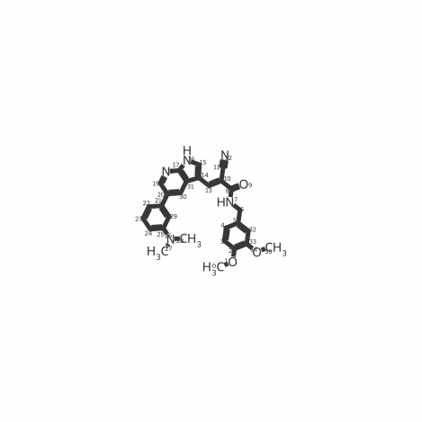 COc1ccc(CNC(=O)/C(C#N)=C/c2c[nH]c3ncc(-c4cccc(N(C)C)c4)cc23)cc1OC